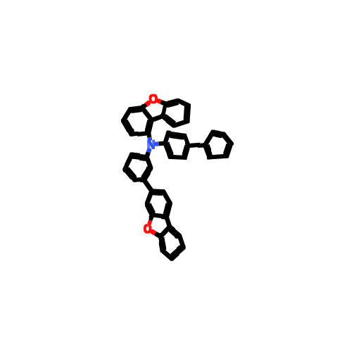 c1ccc(-c2ccc(N(c3cccc(-c4ccc5c(c4)oc4ccccc45)c3)c3cccc4oc5ccccc5c34)cc2)cc1